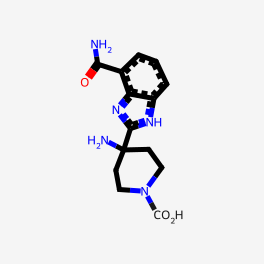 NC(=O)c1cccc2[nH]c(C3(N)CCN(C(=O)O)CC3)nc12